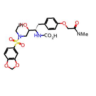 CNC(=O)COc1ccc(C[C@H](NC(=O)O)[C@H](O)CN(CC(C)C)S(=O)(=O)c2ccc3c(c2)OCO3)cc1